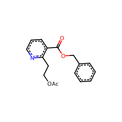 CC(=O)OCCc1ncccc1C(=O)OCc1ccccc1